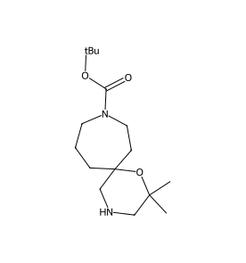 CC(C)(C)OC(=O)N1CCCC2(CC1)CNCC(C)(C)O2